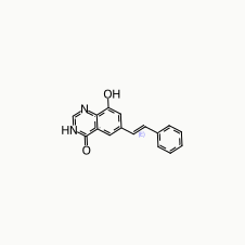 O=c1[nH]cnc2c(O)cc(/C=C/c3ccccc3)cc12